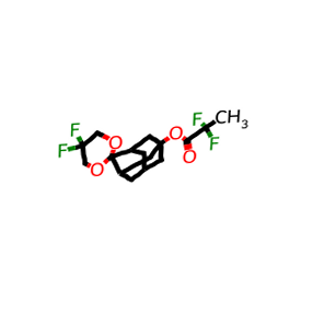 CC(F)(F)C(=O)OC12CC3CC(C1)C1(OCC(F)(F)CO1)C(C3)C2